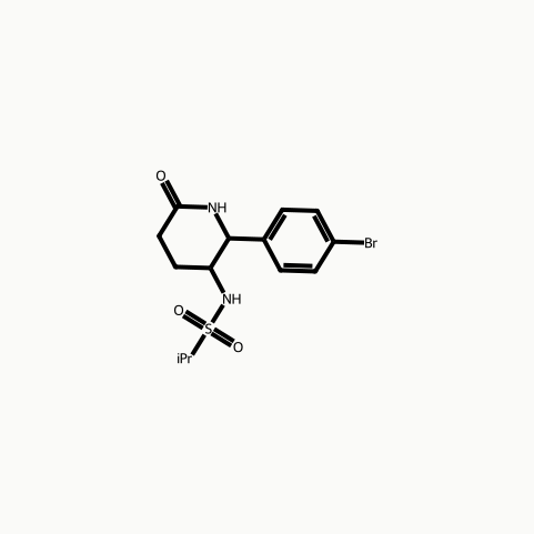 CC(C)S(=O)(=O)NC1CCC(=O)NC1c1ccc(Br)cc1